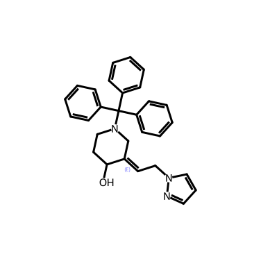 OC1CCN(C(c2ccccc2)(c2ccccc2)c2ccccc2)C/C1=C\Cn1cccn1